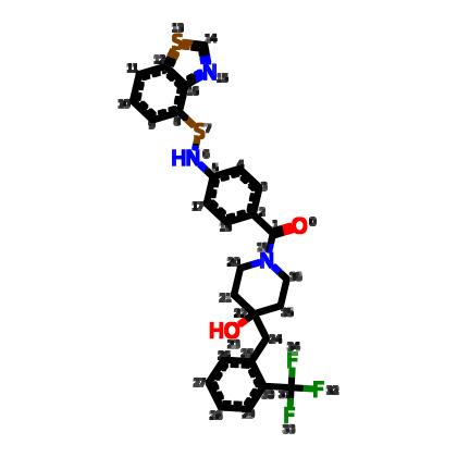 O=C(c1ccc(NSc2cccc3scnc23)cc1)N1CCC(O)(Cc2ccccc2C(F)(F)F)CC1